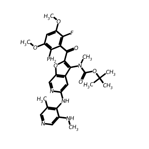 CNc1cncc(C)c1Nc1cc2c(N(C)C(=O)OC(C)(C)C)c(C(=O)c3c(F)c(OC)cc(OC)c3P)oc2cn1